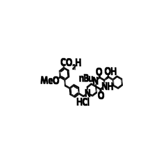 CCCCN1C(=O)[C@@H](C(O)C2CCCCC2)NC(=O)C12CCN(Cc1ccc(Cc3ccc(C(=O)O)cc3OC)cc1)CC2.Cl